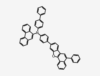 c1ccc(-c2ccc(N(c3ccc(-c4ccc5c(c4)oc4c6ccccc6c(-c6ccccc6)cc54)cc3)c3cc4ccccc4c4ccccc34)cc2)cc1